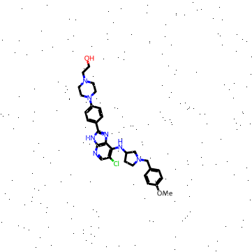 COc1ccc(CN2CCC(Nc3c(Cl)cnc4[nH]c(-c5ccc(N6CCN(CCO)CC6)cc5)nc34)C2)cc1